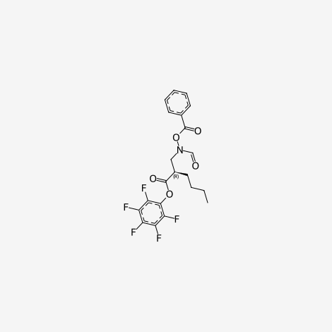 CCCC[C@H](CN(C=O)OC(=O)c1ccccc1)C(=O)Oc1c(F)c(F)c(F)c(F)c1F